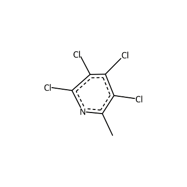 Cc1nc(Cl)c(Cl)c(Cl)c1Cl